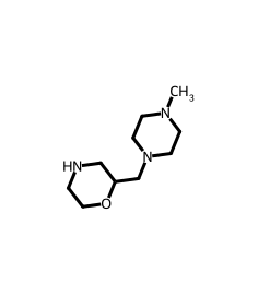 CN1CCN(CC2CNCCO2)CC1